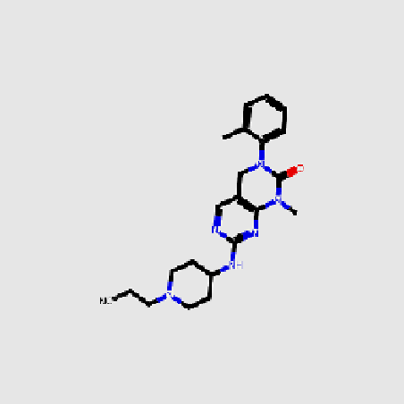 Cc1ccccc1N1Cc2cnc(NC3CCN(CCC#N)CC3)nc2N(C)C1=O